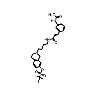 CC(=O)Nc1cccc(C=CC(=O)NCCCCN2CCc3ccc(OS(=O)(=O)C(F)(F)F)cc3C2)c1